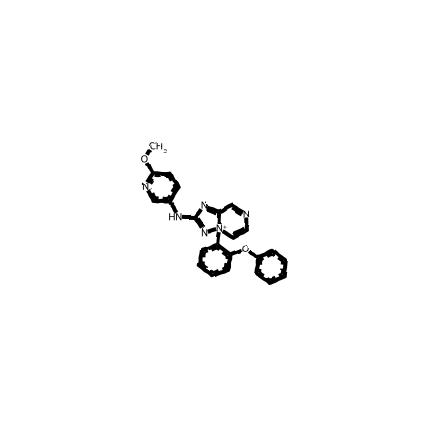 COc1ccc(NC2=N[N+]3(c4ccccc4Oc4ccccc4)C=CN=CC3=N2)cn1